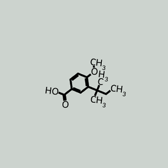 CCC(C)(C)c1cc(C(=O)O)ccc1OC